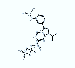 CC(C)c1nn(-c2cccc(OC(F)F)c2)c2cnc(C(=O)NC3(C)CS(=O)(=O)C3)cc12